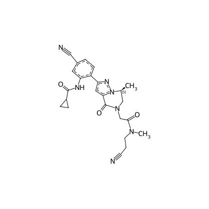 C[C@H]1CN(CC(=O)N(C)CCC#N)C(=O)c2cc(-c3ccc(C#N)cc3NC(=O)C3CC3)nn21